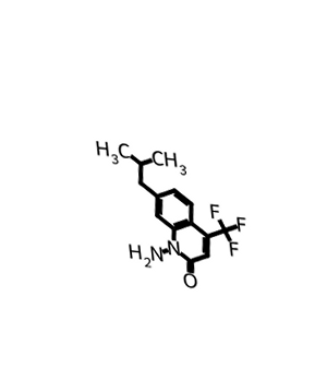 CC(C)Cc1ccc2c(C(F)(F)F)cc(=O)n(N)c2c1